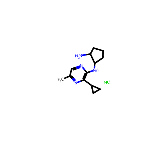 Cl.NC1CCCC1Nc1ncc(C(F)(F)F)nc1C1CC1